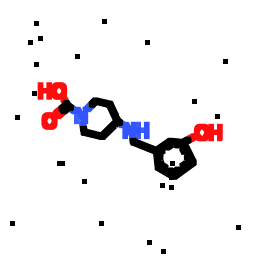 O=C(O)N1CCC(NCc2cccc(O)c2)CC1